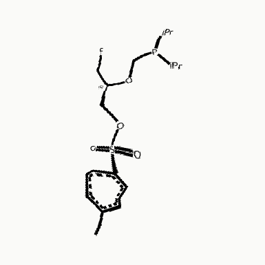 Cc1ccc(S(=O)(=O)OC[C@@H](CF)OCP(C(C)C)C(C)C)cc1